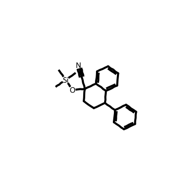 C[Si](C)(C)OC1(C#N)CCC(c2ccccc2)c2ccccc21